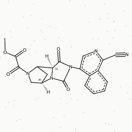 COC(=O)C(=O)N1C[C@H]2CC1[C@H]1C(=O)N(c3cnc(C#N)c4ccccc34)C(=O)N21